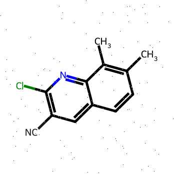 Cc1ccc2cc(C#N)c(Cl)nc2c1C